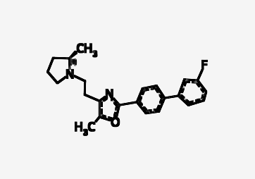 Cc1oc(-c2ccc(-c3cccc(F)c3)cc2)nc1CCN1CCC[C@H]1C